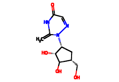 C=C1NC(=O)C=NN1[C@@H]1C[C@H](CO)C(O)[C@@H]1O